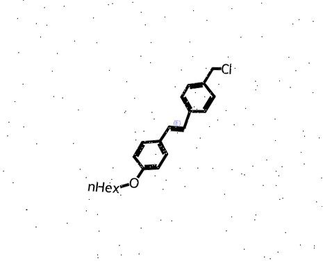 CCCCCCOc1ccc(/C=C/c2ccc(CCl)cc2)cc1